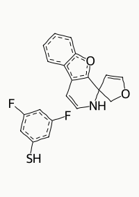 C1=Cc2c(oc3ccccc23)C2(C=COC2)N1.Fc1cc(F)cc(S)c1